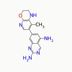 Cc1c(-c2cc(N)c3cnc(N)nc3c2)cnc2c1NCCO2